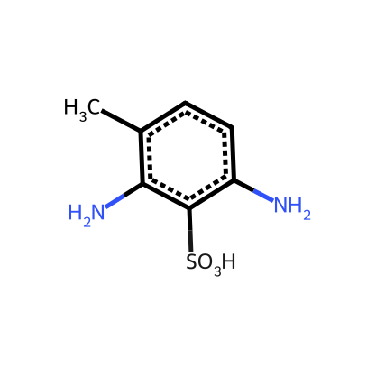 Cc1ccc(N)c(S(=O)(=O)O)c1N